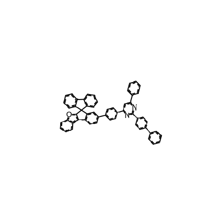 c1ccc(-c2ccc(-c3nc(-c4ccccc4)cc(-c4ccc(-c5ccc6c(c5)C5(c7ccccc7-c7ccccc75)c5oc7ccccc7c5-6)cc4)n3)cc2)cc1